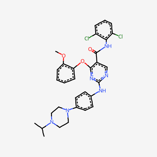 COc1ccccc1Oc1nc(Nc2ccc(N3CCN(C(C)C)CC3)cc2)ncc1C(=O)Nc1c(Cl)cccc1Cl